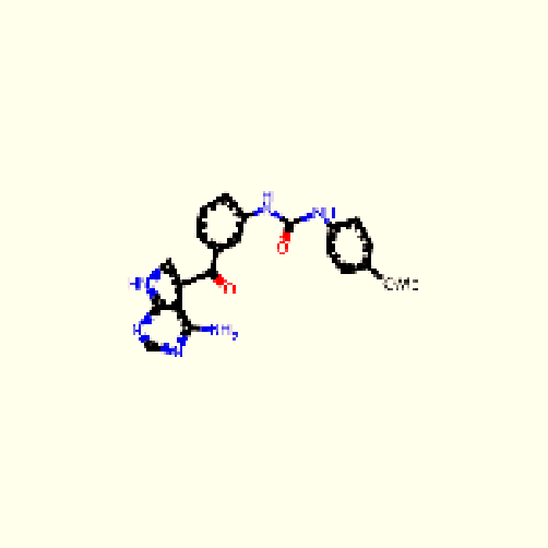 COc1ccc(NC(=O)Nc2cccc(C(=O)c3c[nH]c4ncnc(N)c34)c2)cc1